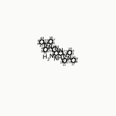 Nc1c(N)c2cc(N3c4ccccc4N(c4ccccc4)c4ccccc43)cnc2c2ncc(N3c4ccccc4N(c4ccccc4)c4ccccc43)cc12